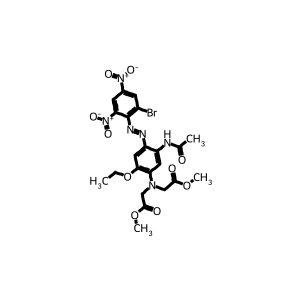 CCOc1cc(/N=N/c2c(Br)cc([N+](=O)[O-])cc2[N+](=O)[O-])c(NC(C)=O)cc1N(CC(=O)OC)CC(=O)OC